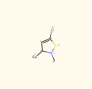 CN1SC(Cl)=C[CH]1[Cu]